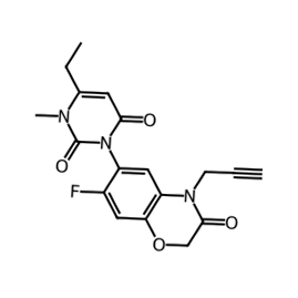 C#CCN1C(=O)COc2cc(F)c(-n3c(=O)cc(CC)n(C)c3=O)cc21